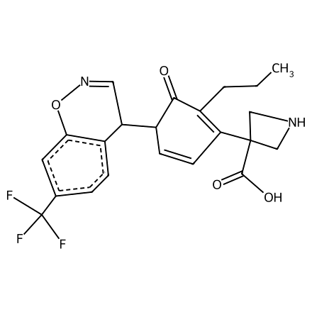 CCCC1=C(C2(C(=O)O)CNC2)C=CC(C2C=NOc3cc(C(F)(F)F)ccc32)C1=O